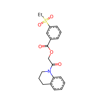 CCS(=O)(=O)c1cccc(C(=O)OCC(=O)N2CCCc3ccccc32)c1